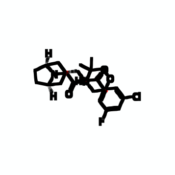 CC1(C)COCCN1C(=O)CN1[C@@H]2CC[C@H]1C[C@H](CNC(=O)c1cc(F)cc(Cl)c1)C2